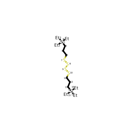 CC[Si](CC)(CC)CCCSSSSCCC[Si](CC)(CC)CC